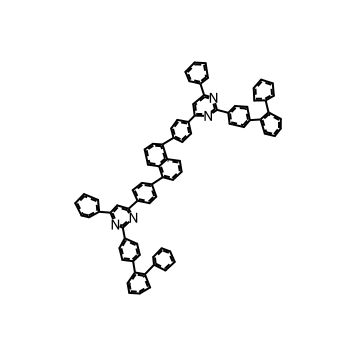 c1ccc(-c2cc(-c3ccc(-c4cccc5c(-c6ccc(-c7cc(-c8ccccc8)nc(-c8ccc(-c9ccccc9-c9ccccc9)cc8)n7)cc6)cccc45)cc3)nc(-c3ccc(-c4ccccc4-c4ccccc4)cc3)n2)cc1